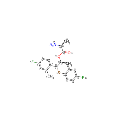 Cc1cc(F)ccc1[C@@H](Sc1ccc(F)cc1)[C@H](C)OC(=O)[C@H](C)N